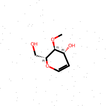 CO[C@H]1[C@H](O)C=CO[C@@H]1CO